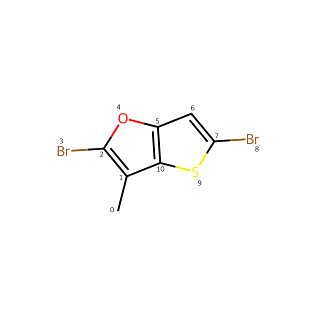 Cc1c(Br)oc2cc(Br)sc12